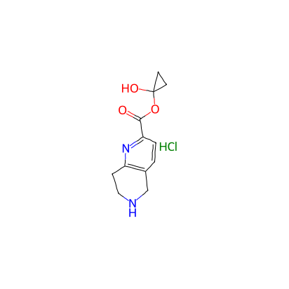 Cl.O=C(OC1(O)CC1)c1ccc2c(n1)CCNC2